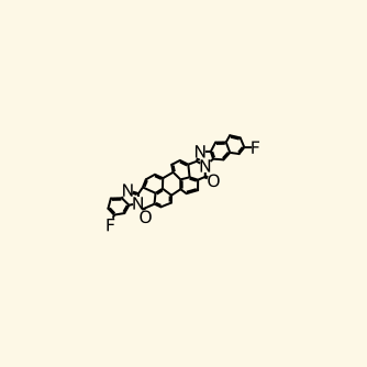 O=c1c2ccc3c4ccc5c(=O)n6c7cc8cc(F)ccc8cc7nc6c6ccc(c7ccc(c2c37)c2nc3ccc(F)cc3n12)c4c56